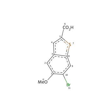 COc1cc2cc(C(=O)O)sc2cc1Br